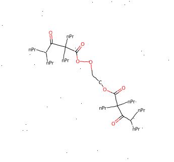 CCCC(CCC)C(=O)C(CCC)(CCC)C(=O)OCCOOC(=O)C(CCC)(CCC)C(=O)C(CCC)CCC